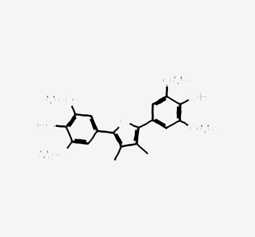 COc1cc(-c2oc(-c3cc(OC)c(O)c(OC)c3)c(C)c2C)cc(OC)c1O